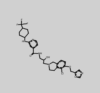 O=C(NCC(O)CN1CCc2c(ccc(OCc3cnco3)c2Cl)C1)c1ccnc(NC2CCC(C(F)(F)F)CC2)c1